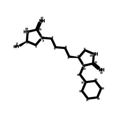 CCC[C@@H]1CN(CCCC[C@H]2CNC(=N)N2CC2CCCCC2)C(=N)N1